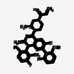 C=CC(=[18O])N1CCN(C2=NC(=C)N(c3c(C(C)C)ncc(F)c3C)c3nc(-c4c(F)cccc4C=O)c(Cl)cc32)[C@@H](C)C1